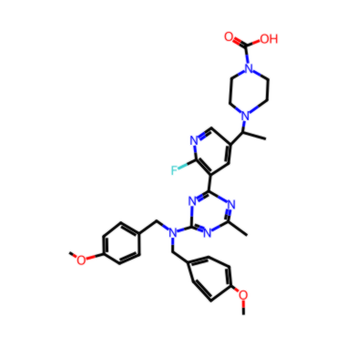 COc1ccc(CN(Cc2ccc(OC)cc2)c2nc(C)nc(-c3cc(C(C)N4CCN(C(=O)O)CC4)cnc3F)n2)cc1